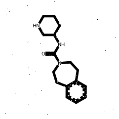 O=C(NC1CCCNC1)N1CCc2ccccc2CC1